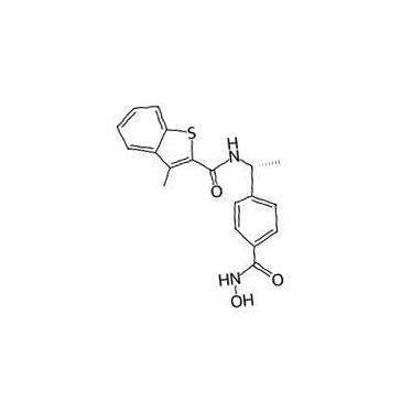 Cc1c(C(=O)N[C@H](C)c2ccc(C(=O)NO)cc2)sc2ccccc12